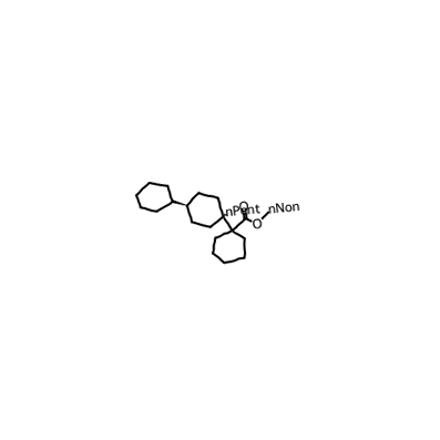 CCCCCCCCCOC(=O)C1([C@]2(CCCCC)CC[C@H](C3CCCCC3)CC2)CCCCC1